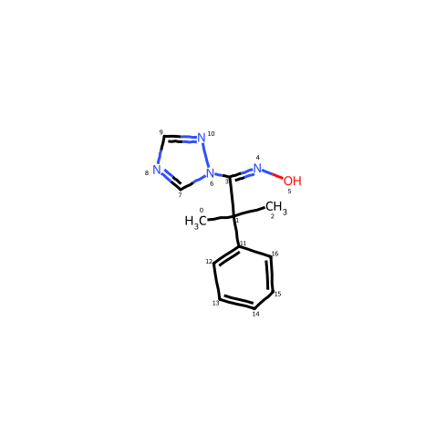 CC(C)(C(=NO)n1cncn1)c1ccccc1